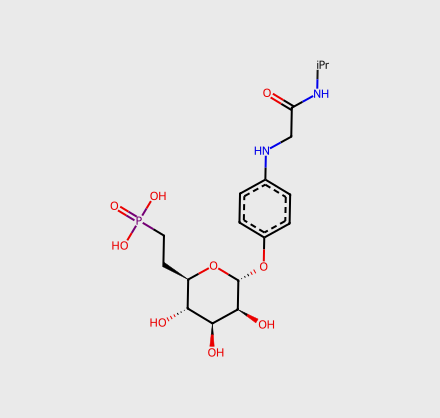 CC(C)NC(=O)CNc1ccc(O[C@H]2O[C@H](CCP(=O)(O)O)[C@@H](O)[C@H](O)[C@@H]2O)cc1